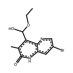 CCOC(O)c1c(C)c(=O)[nH]c2cc(Br)cnc12